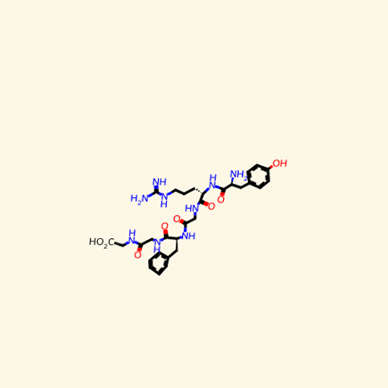 N=C(N)NCCC[C@H](NC(=O)[C@@H](N)Cc1ccc(O)cc1)C(=O)NCC(=O)N[C@@H](Cc1ccccc1)C(=O)NCC(=O)NCC(=O)O